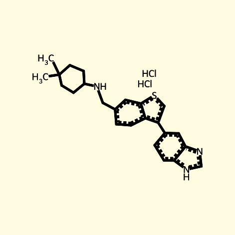 CC1(C)CCC(NCc2ccc3c(-c4ccc5[nH]cnc5c4)csc3c2)CC1.Cl.Cl